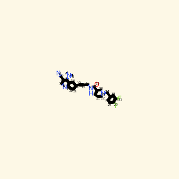 CN(C)c1c(C#N)cnc2ccc(C#CCNC(=O)C3=CC=CN(Cc4ccc(F)c(F)c4)C3)cc12